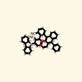 N#Cc1cccc(-c2c3ccccc3c(-c3ccccc3)c3ccccc23)c1-c1cccc(-n2c3ccccc3c3ccccc32)c1C#N